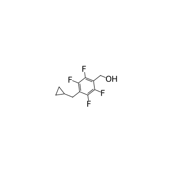 OCc1c(F)c(F)c(CC2CC2)c(F)c1F